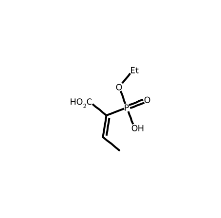 CC=C(C(=O)O)P(=O)(O)OCC